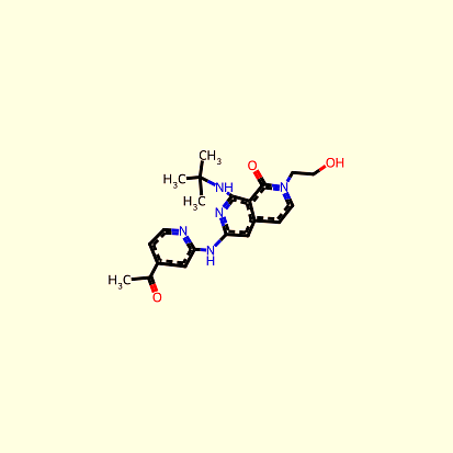 CC(=O)c1ccnc(Nc2cc3ccn(CCO)c(=O)c3c(NC(C)(C)C)n2)c1